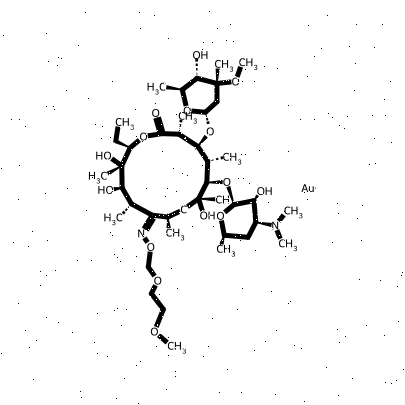 CC[C@H]1OC(=O)[C@H](C)[C@@H](O[C@H]2C[C@@](C)(OC)[C@@H](O)[C@H](C)O2)[C@H](C)[C@@H](O[C@@H]2O[C@H](C)C[C@H](N(C)C)[C@H]2O)[C@](C)(O)C[C@@H](C)/C(=N\OCOCCOC)[C@H](C)[C@@H](O)[C@]1(C)O.[Au]